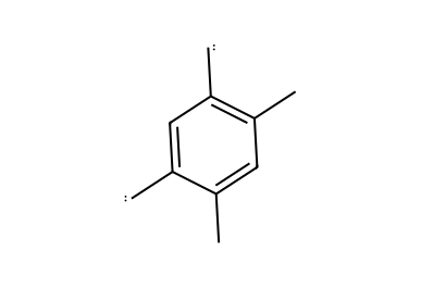 [CH]c1cc([CH])c(C)cc1C